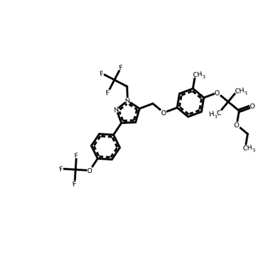 CCOC(=O)C(C)(C)Oc1ccc(OCc2cc(-c3ccc(OC(F)(F)F)cc3)nn2CC(F)(F)F)cc1C